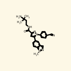 Cn1ncc2cc(-c3cc(C(=O)NCCC(C)(C)N)nn3-c3ccc(C#N)cc3)ccc21